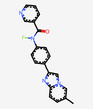 Cc1ccc2nc(-c3ccc(N(F)C(=O)c4cccnc4)cc3)cn2c1